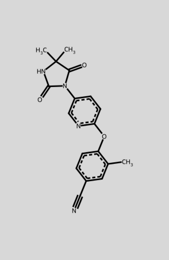 Cc1cc(C#N)ccc1Oc1ccc(N2C(=O)NC(C)(C)C2=O)cn1